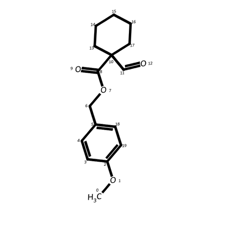 COc1ccc(COC(=O)C2(C=O)CCCCC2)cc1